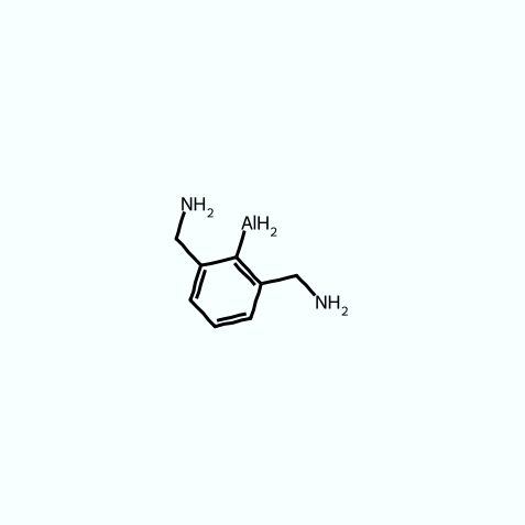 NCc1cccc(CN)[c]1[AlH2]